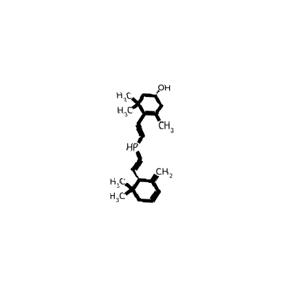 C=C1C=CCC(C)(C)[C@H]1C=CPC=CC1=C(C)C[C@@H](O)CC1(C)C